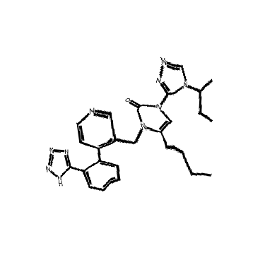 CCCCc1cn(-c2nncn2C(C)CC)c(=O)n1Cc1cnccc1-c1ccccc1-c1nnn[nH]1